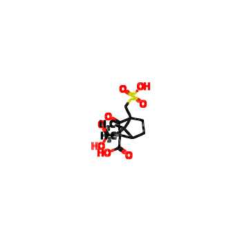 CC1(C)C2CCC1(CS(=O)(=O)O)C(=O)C2(C(=O)O)C(=O)O